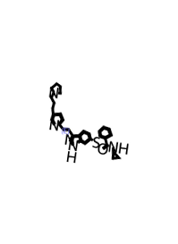 O=C(NC1CC1)c1ccccc1Sc1ccc2c(/C=C/c3ccc(CCCN4CCCC4)cn3)n[nH]c2c1